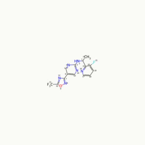 CC(Nc1ncc(-c2noc(C(F)(F)F)n2)cn1)c1ncccc1F